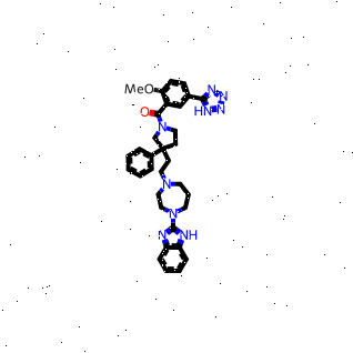 COc1ccc(-c2nnn[nH]2)cc1C(=O)N1CCC(CCN2CCCN(c3nc4ccccc4[nH]3)CC2)(c2ccccc2)C1